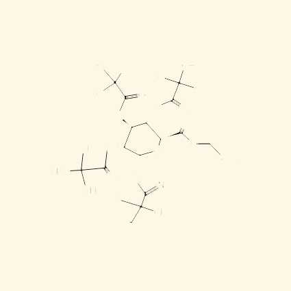 CCOC(=O)[C@H]1O[C@H](OC(=N)C(Cl)(Cl)Cl)[C@H](OC(=O)C(C)(C)C)[C@@H](OC(=O)C(C)(C)C)[C@@H]1OC(=O)C(C)(C)C